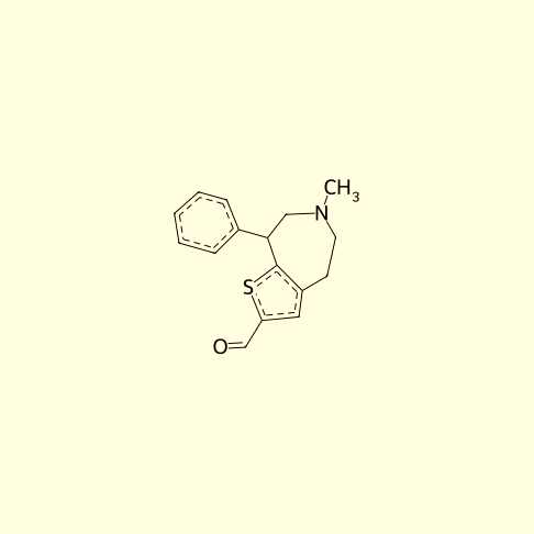 CN1CCc2cc(C=O)sc2C(c2ccccc2)C1